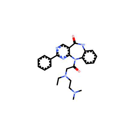 CCN(CCN(C)C)CC(=O)N1c2ccccc2NC(=O)c2cnc(-c3ccccc3)nc21